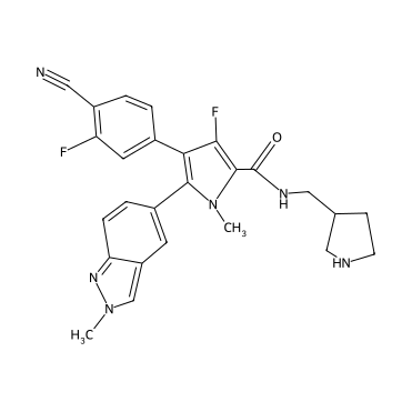 Cn1cc2cc(-c3c(-c4ccc(C#N)c(F)c4)c(F)c(C(=O)NCC4CCNC4)n3C)ccc2n1